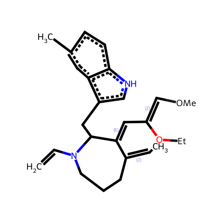 C=CN1CCCC(=C/C)/C(=C\C(=C\OC)OCC)C1Cc1c[nH]c2ccc(C)cc12